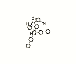 CC1(C)c2cccc(C#N)c2-c2cccc(-c3ccccc3-c3nc(-c4ccc(-c5ccccc5)cc4)cc(-c4ccc(-c5ccccc5)cc4)n3)c21